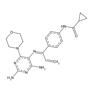 C=C/C(=N\c1c(N)nc(N)nc1N1CCOCC1)c1ccc(NC(=O)C2CC2)cc1